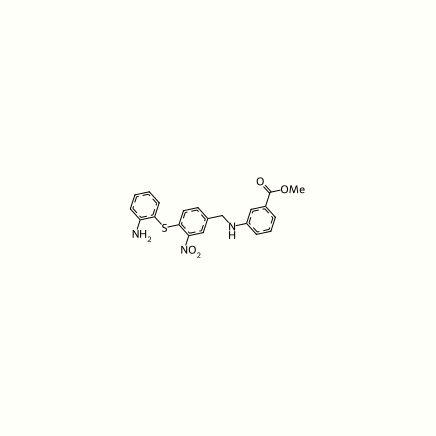 COC(=O)c1cccc(NCc2ccc(Sc3ccccc3N)c([N+](=O)[O-])c2)c1